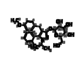 COc1ccc(Cc2c(O[C@@H]3O[C@H](CO)[C@@H](O)[C@H](O)[C@H]3O)nn(C(C)C)c2-c2ccccc2C)cc1